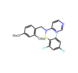 COc1ccc(CN(Sc2c(F)cc(F)cc2F)c2ccncn2)c(OC)c1